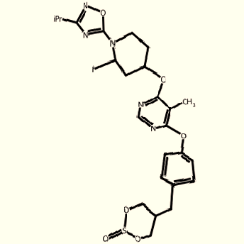 Cc1c(Oc2ccc(CC3COS(=O)OC3)cc2)ncnc1OC1CCN(c2nc(C(C)C)no2)C(I)C1